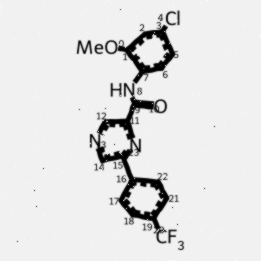 COc1cc(Cl)ccc1NC(=O)c1cncc(-c2ccc(C(F)(F)F)cc2)n1